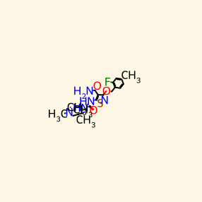 Cc1ccc(COc2nsc(NC(=O)NCC(C)(C)CN(C)C)c2C(N)=O)c(F)c1